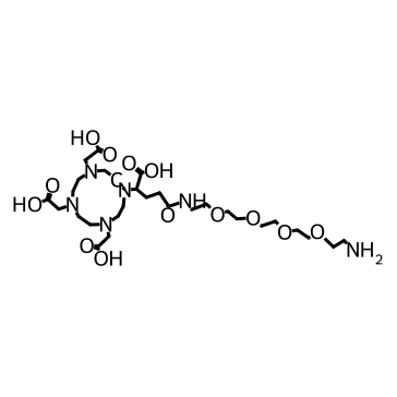 NCCOCCOCCOCCOCCNC(=O)CCC(C(=O)O)N1CCN(CC(=O)O)CCN(CC(=O)O)CCN(CC(=O)O)CC1